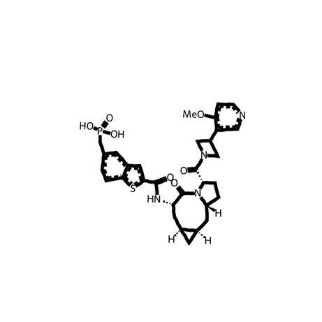 COc1ccncc1C1CN(C(=O)[C@@H]2CC[C@@H]3C[C@H]4C[C@H]4C[C@H](NC(=O)c4cc5cc(CP(=O)(O)O)ccc5s4)C(=O)N32)C1